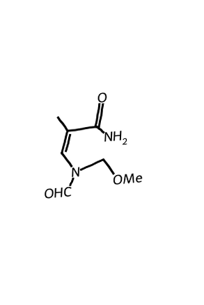 COCN(C=O)/C=C(/C)C(N)=O